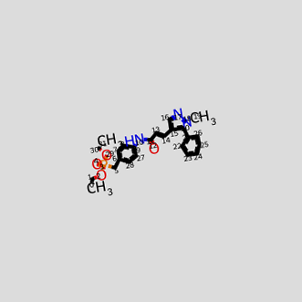 CCOP(=O)(Cc1ccc(NC(=O)/C=C/c2cnn(C)c2-c2ccccc2)cc1)OCC